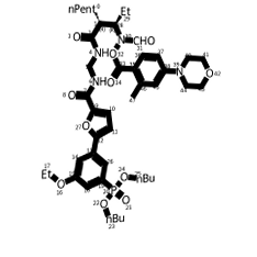 CCCCC[C@@H](C(=O)NCNC(=O)c1ccc(-c2cc(OCC)cc(P(=O)(OCCCC)OCCCC)c2)o1)[C@@H](CC)N(C=O)OC(=O)c1ccc(N2CCOCC2)cc1C